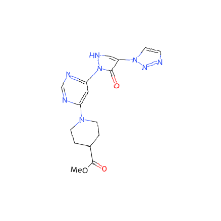 COC(=O)C1CCN(c2cc(-n3[nH]cc(-n4ccnn4)c3=O)ncn2)CC1